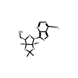 CC1(C)O[C@@H]2[C@H](O1)[C@@H](CO)O[C@H]2c1scc2c(N)ncnc12